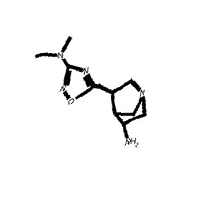 CN(C)c1noc(C2CN3CC(N)C2C3)n1